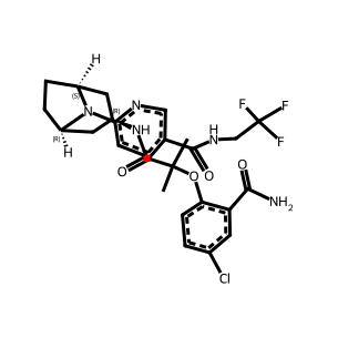 CC(C)(Oc1ccc(Cl)cc1C(N)=O)C(=O)N[C@H]1C[C@H]2CC[C@@H](C1)N2c1ccc(C(=O)NCC(F)(F)F)cn1